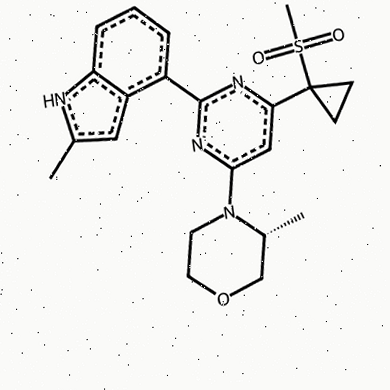 Cc1cc2c(-c3nc(N4CCOC[C@H]4C)cc(C4(S(C)(=O)=O)CC4)n3)cccc2[nH]1